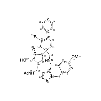 COc1ccc(Cn2nncc2CNCC2(N3C[C@H](CNC(C)=O)OC3=O)C=CC(c3ccccc3)=C(F)C2)cc1.Cl